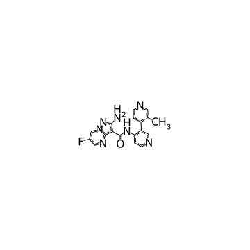 Cc1cnccc1-c1cnccc1NC(=O)c1c(N)nn2cc(F)cnc12